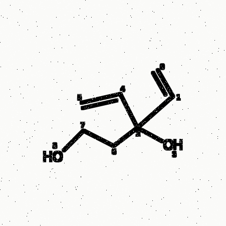 C=CC(O)(C=C)CCO